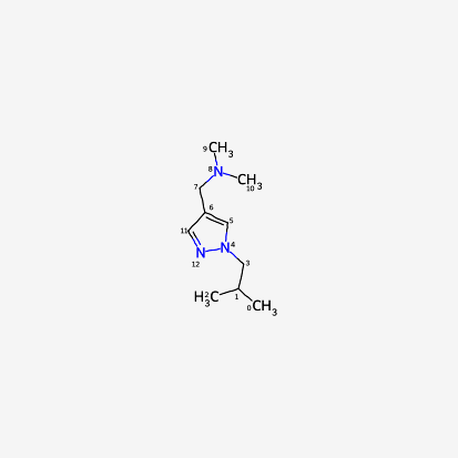 CC(C)Cn1cc(CN(C)C)cn1